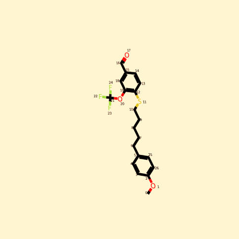 COc1ccc(CCCCCSc2ccc(C=O)cc2OC(F)(F)F)cc1